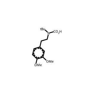 COc1ccc(CCN(C(=O)O)C(C)(C)C)cc1OC